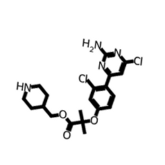 CC(C)(Oc1ccc(-c2cc(Cl)nc(N)n2)c(Cl)c1)C(=O)OCC1CCNCC1